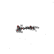 COC(=O)N[C@@H](C)C(=O)N1CCC[C@H]1c1ncc(-c2ccc(-c3ccc(-c4cnc([C@@H]5Cc6cccc7c6N5C(=O)[C@@H](NC(=O)OC)CC7)[nH]4)cc3)cc2)[nH]1